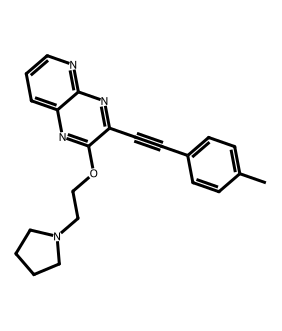 Cc1ccc(C#Cc2nc3ncccc3nc2OCCN2CCCC2)cc1